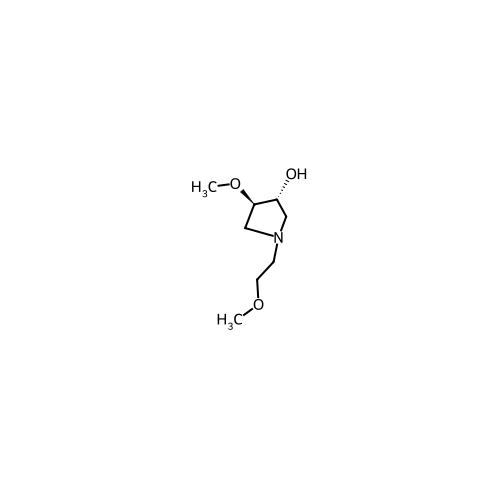 COCCN1C[C@@H](O)[C@H](OC)C1